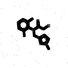 Cc1cccc(C)c1N(Cc1ccn(C)n1)C(=O)CCl